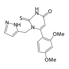 COc1ccc(-c2cc(=O)[nH]c(=S)n2Cc2ccn[nH]2)c(OC)c1